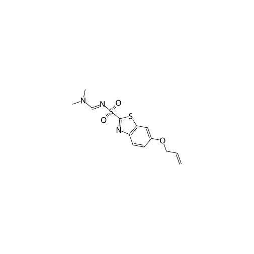 C=CCOc1ccc2nc(S(=O)(=O)N=CN(C)C)sc2c1